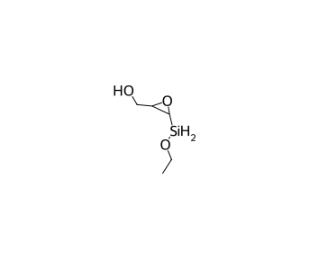 CCO[SiH2]C1OC1CO